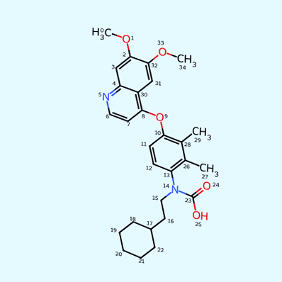 COc1cc2nccc(Oc3ccc(N(CCC4CCCCC4)C(=O)O)c(C)c3C)c2cc1OC